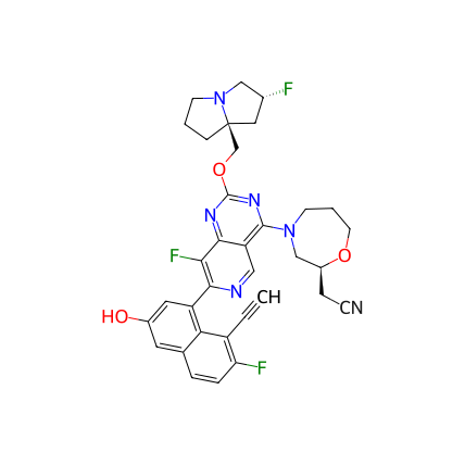 C#Cc1c(F)ccc2cc(O)cc(-c3ncc4c(N5CCCO[C@@H](CC#N)C5)nc(OC[C@@]56CCCN5C[C@H](F)C6)nc4c3F)c12